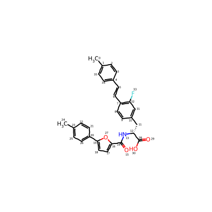 Cc1ccc(/C=C/c2ccc(C[C@@H](NC(=O)c3ccc(-c4ccc(C)cc4)o3)C(=O)O)cc2F)cc1